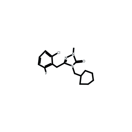 Cn1nc(Cc2c(F)cccc2Cl)n(CC2CCCCC2)c1=O